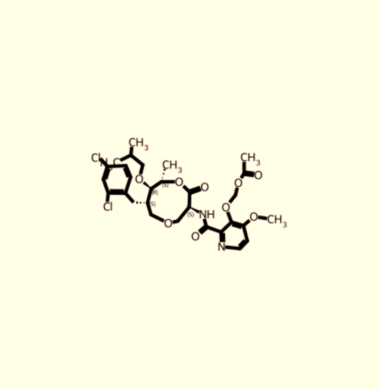 COc1ccnc(C(=O)N[C@H]2COC[C@H](Cc3ccc(Cl)cc3Cl)[C@@H](OCC(C)C)[C@H](C)OC2=O)c1OCOC(C)=O